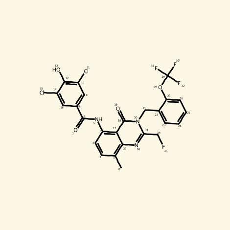 Cc1ccc(NC(=O)c2cc(Cl)c(O)c(Cl)c2)c2c(=O)n(Cc3ccccc3OC(F)(F)F)c(CF)nc12